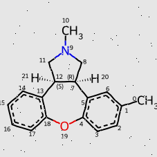 Cc1ccc2c(c1)[C@@H]1CN(C)C[C@@H]1c1ccccc1O2